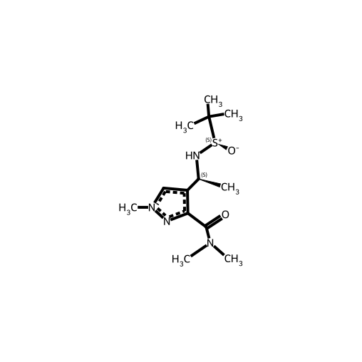 C[C@H](N[S@+]([O-])C(C)(C)C)c1cn(C)nc1C(=O)N(C)C